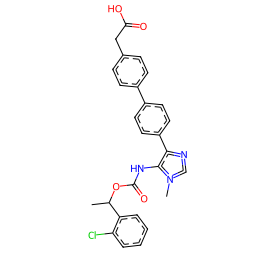 CC(OC(=O)Nc1c(-c2ccc(-c3ccc(CC(=O)O)cc3)cc2)ncn1C)c1ccccc1Cl